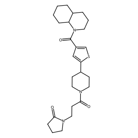 O=C1CCCN1CCC(=O)N1CCC(c2cc(C(=O)N3CCCC4CCCCC43)cs2)CC1